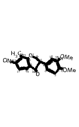 COc1ccc(C2COc3c(ccc(N=O)c3C)C2=O)cc1OC